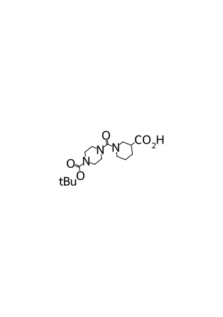 CC(C)(C)OC(=O)N1CCN(C(=O)N2CCCC(C(=O)O)C2)CC1